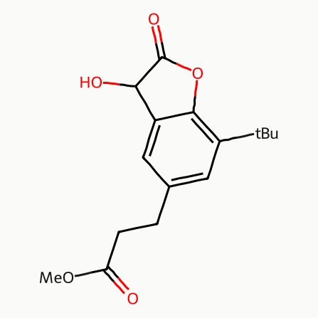 COC(=O)CCc1cc2c(c(C(C)(C)C)c1)OC(=O)C2O